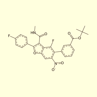 CNC(=O)c1c(-c2ccc(F)cc2)oc2cc([N+](=O)[O-])c(-c3cccc(C(=O)OC(C)(C)C)c3)c(F)c12